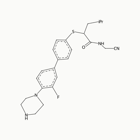 CC(C)CC(Sc1ccc(-c2ccc(N3CCNCC3)c(F)c2)cc1)C(=O)NCC#N